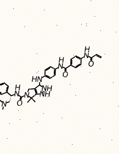 C=CC(=O)Nc1ccc(C(=O)Nc2ccc(NC3NNC4=C3CN(C(=O)N[C@H](CN(C)C)c3ccccc3)C4(C)C)cc2)cc1